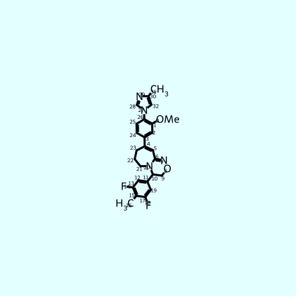 COc1cc(C2=CC3=NOCC(c4cc(F)c(C)c(F)c4)N3CCC2)ccc1-n1cnc(C)c1